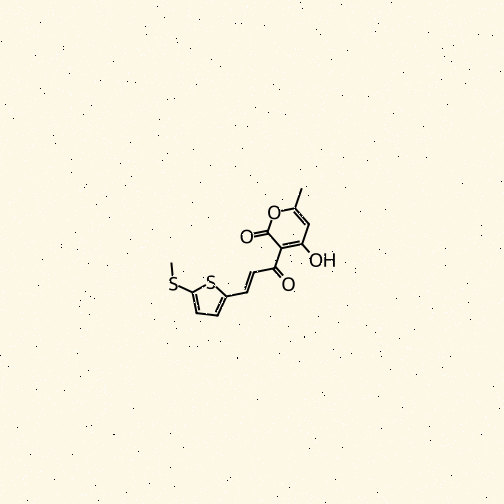 CSc1ccc(C=CC(=O)c2c(O)cc(C)oc2=O)s1